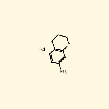 Cl.Nc1ccc2c(c1)OCCC2